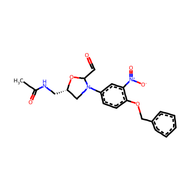 CC(=O)NC[C@H]1CN(c2ccc(OCc3ccccc3)c([N+](=O)[O-])c2)C(C=O)O1